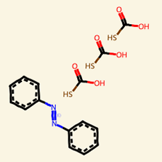 O=C(O)S.O=C(O)S.O=C(O)S.c1ccc(/N=N/c2ccccc2)cc1